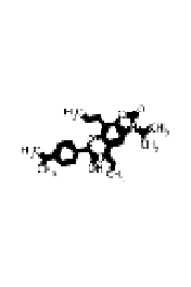 CCCc1cc2c(oc(=O)n2C(C)C)c(CCC)c1OC(C(=O)O)c1ccc(C(C)C)cc1